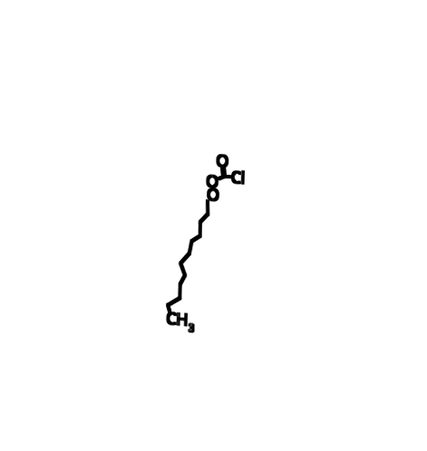 CCCCCCCCCCCCOOC(=O)Cl